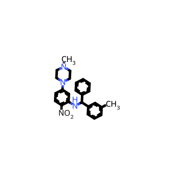 Cc1cccc(C(Nc2cc(N3CCN(C)CC3)ccc2[N+](=O)[O-])c2ccccc2)c1